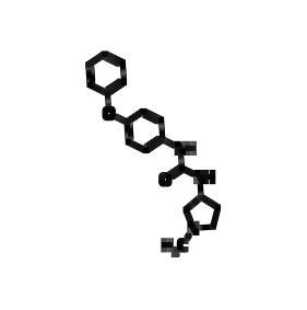 CN1CCC(NC(=O)Nc2ccc(Oc3ccccc3)cc2)C1